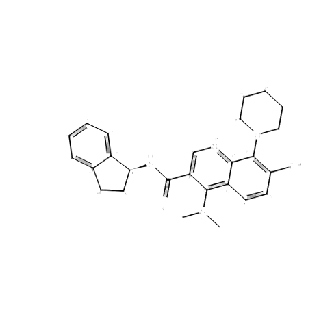 CN(C)c1c(C(=O)N[C@H]2CCc3ccccc32)cnc2c(N3CCCCC3)c(F)ccc12